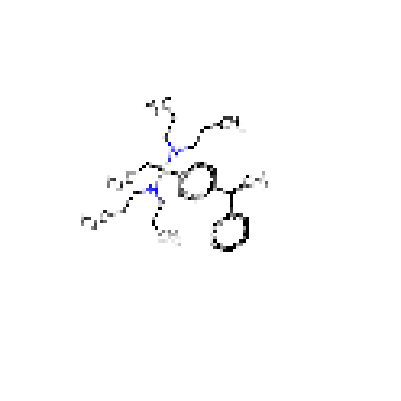 C=C(c1ccccc1)c1ccc([Si](CC)(N(CCC)CCC)N(CCC)CCC)cc1